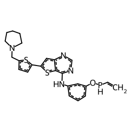 C=CPOc1cccc(Nc2ncnc3cc(-c4ccc(CN5CCCCC5)s4)sc23)c1